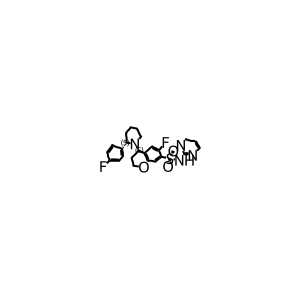 O=S(=O)(Nc1ncccn1)c1cc2c(cc1F)[C@@H](N1CCCC[C@H]1c1ccc(F)cc1)CCO2